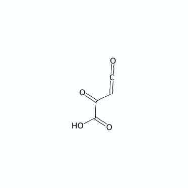 O=C=CC(=O)C(=O)O